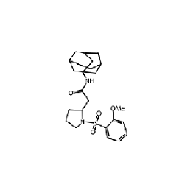 COc1ccccc1S(=O)(=O)N1CCCC1CC(=O)NC12CC3CC(CC(C3)C1)C2